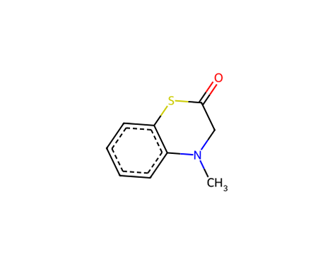 CN1CC(=O)Sc2ccccc21